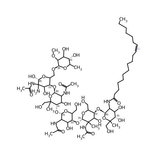 CCCCCC/C=C\CCCCCCCCCC(=O)NC1C(O)[C@H](O)C(C)(CO)O[C@H]1O[C@@H]1C(CO)O[C@@H](O[C@@H]2C(CO)O[C@@H](O[C@H]3C(O)C(NC(C)=O)[C@H](O[C@@H]4C(CO[C@@H]5OC(C)[C@@H](O)C(O)C5OC)O[C@@H](O)C(N)(NC(C)=O)C4O)OC3(C)CO)C(NC(C)=O)C2O)C(C)(NC(C)=O)C1O